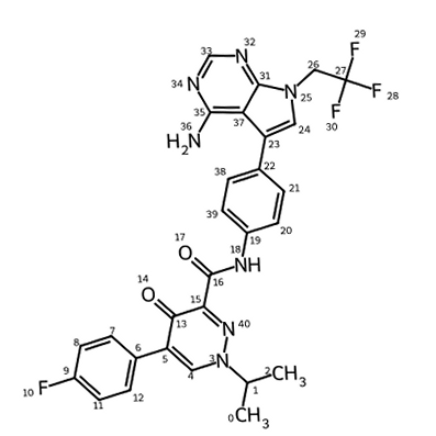 CC(C)n1cc(-c2ccc(F)cc2)c(=O)c(C(=O)Nc2ccc(-c3cn(CC(F)(F)F)c4ncnc(N)c34)cc2)n1